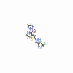 O=C(c1nccc2sc(NCc3cncc(Cl)c3)cc12)N1CCCC1